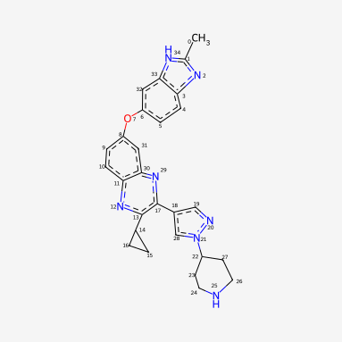 Cc1nc2ccc(Oc3ccc4nc(C5CC5)c(-c5cnn(C6CCNCC6)c5)nc4c3)cc2[nH]1